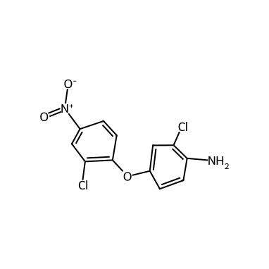 Nc1ccc(Oc2ccc([N+](=O)[O-])cc2Cl)cc1Cl